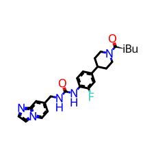 CC[C@H](C)C(=O)N1CCC(c2ccc(NC(=O)NCc3ccn4ccnc4c3)c(F)c2)CC1